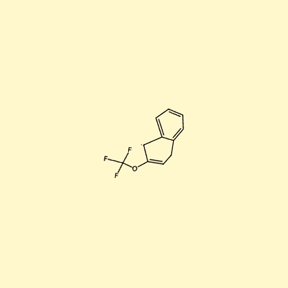 FC(F)(F)OC1=CCc2ccccc2[CH]1